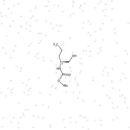 CC(C)(C)OC(=O)N[C@H](CO)CCC(F)(F)F